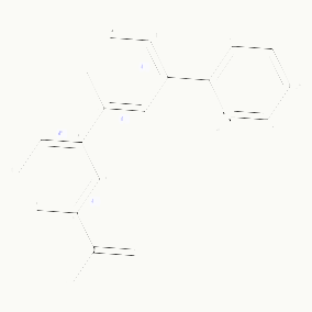 C=C(C)/C(C)=C/C(=C\C)C(/C)=C/C(=C\C)c1ccccn1